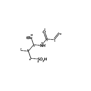 C=CC(=O)NC(C(C)CS(=O)(=O)O)C(C)(C)C